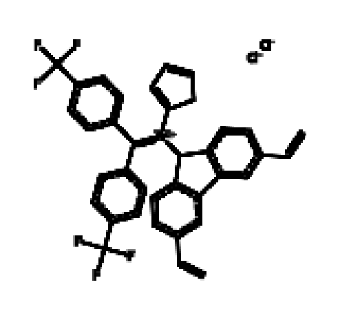 C=Cc1ccc2c(c1)-c1cc(C=C)ccc1[CH]2[Zr+2]([C]1=CC=CC1)=[C](c1ccc(C(F)(F)F)cc1)c1ccc(C(F)(F)F)cc1.[Cl-].[Cl-]